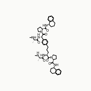 CN[C@@H](C)C(=O)N[C@@H](CCCc1ccc([C@H](NC(=O)[C@H](C)NC)C(=O)N2CCC[C@H]2C(=O)N[C@@H]2CCCc3ccccc32)cc1)C(=O)N1CCC[C@H]1C(=O)N[C@@H]1CCCc2ccccc21